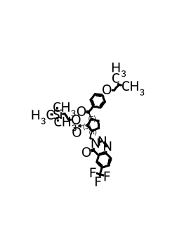 CC(C)COc1ccc(C(=O)[C@H]2CC[C@@H](Cn3nnc4ccc(C(F)(F)F)cc4c3=O)[C@@H]2C(=O)OCC[Si](C)(C)C)cc1